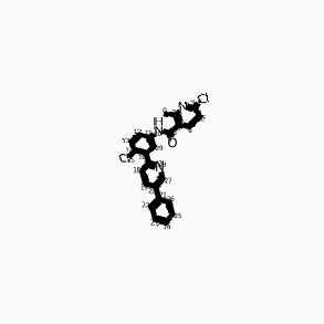 Cc1nc(Cl)ccc1C(=O)Nc1ccc(Cl)c(-c2ccc(-c3ccccc3)cn2)c1